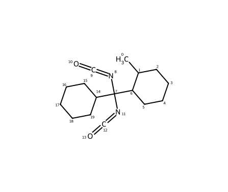 CC1CCCCC1C(N=C=O)(N=C=O)C1CCCCC1